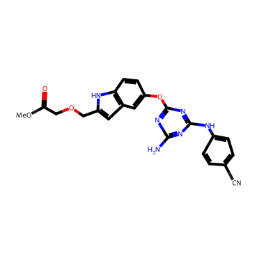 COC(=O)COCc1cc2cc(Oc3nc(N)nc(Nc4ccc(C#N)cc4)n3)ccc2[nH]1